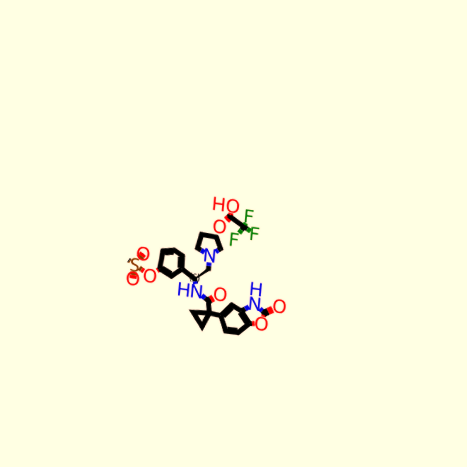 CS(=O)(=O)Oc1cccc([C@@H](CN2CCCC2)NC(=O)C2(c3ccc4oc(=O)[nH]c4c3)CC2)c1.O=C(O)C(F)(F)F